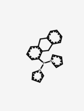 c1ccc2c(c1)Cc1cccc(P(n3cccc3)n3cccc3)c1C2